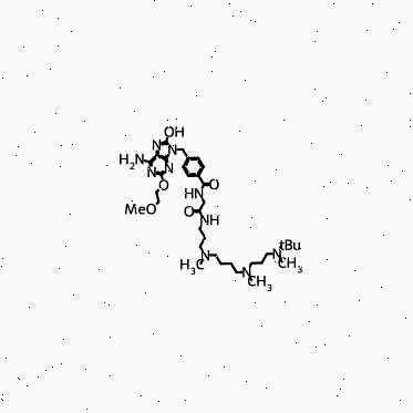 COCCOc1nc(N)c2nc(O)n(Cc3ccc(C(=O)NCC(=O)NCCCN(C)CCCCN(C)CCCN(C)C(C)(C)C)cc3)c2n1